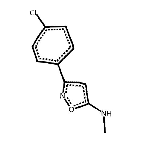 CNc1cc(-c2ccc(Cl)cc2)no1